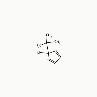 [Li][C]1(C(C)(C)C)C=CC=C1